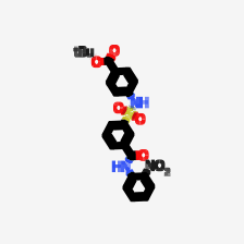 CC(C)(C)OC(=O)c1ccc(NS(=O)(=O)c2cccc(C(=O)Nc3ccccc3[N+](=O)[O-])c2)cc1